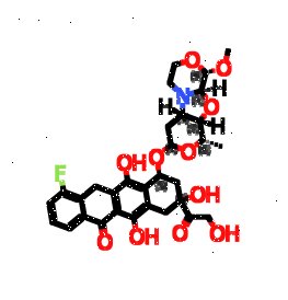 CO[C@H]1OCCN2[C@@H]1O[C@@H]1[C@H](C)O[C@@H](O[C@H]3C[C@](O)(C(=O)CO)Cc4c(O)c5c(c(O)c43)Cc3c(F)cccc3C5=O)C[C@@H]12